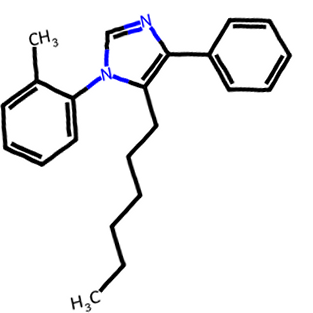 CCCCCCc1c(-c2ccccc2)ncn1-c1ccccc1C